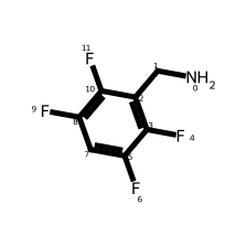 NCc1c(F)c(F)cc(F)c1F